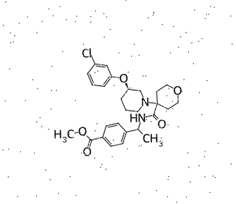 COC(=O)c1ccc(C(C)NC(=O)C2(N3CCC[C@@H](Oc4cccc(Cl)c4)C3)CCOCC2)cc1